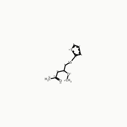 COC(CSc1cccs1)CC(C)=O